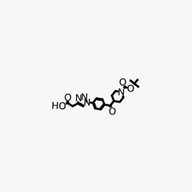 CC(C)(C)OC(=O)N1CCC(C(=O)c2ccc(-n3cc(CC(=O)O)nn3)cc2)CC1